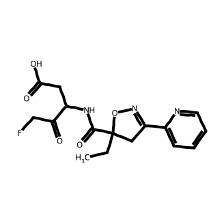 CCC1(C(=O)NC(CC(=O)O)C(=O)CF)CC(c2ccccn2)=NO1